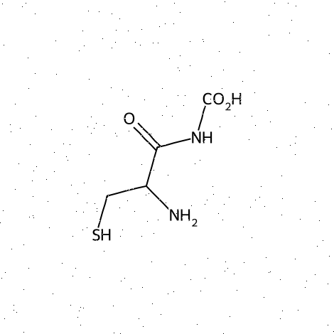 NC(CS)C(=O)NC(=O)O